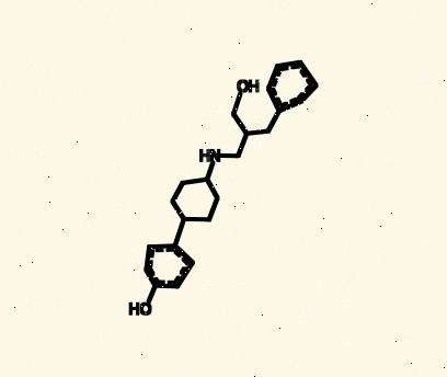 OCC(CNC1CCC(c2ccc(O)cc2)CC1)Cc1ccccc1